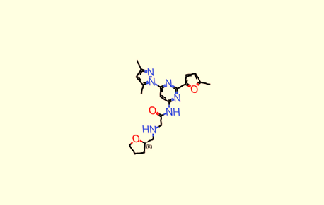 Cc1cc(C)n(-c2cc(NC(=O)CNC[C@H]3CCCO3)nc(-c3ccc(C)o3)n2)n1